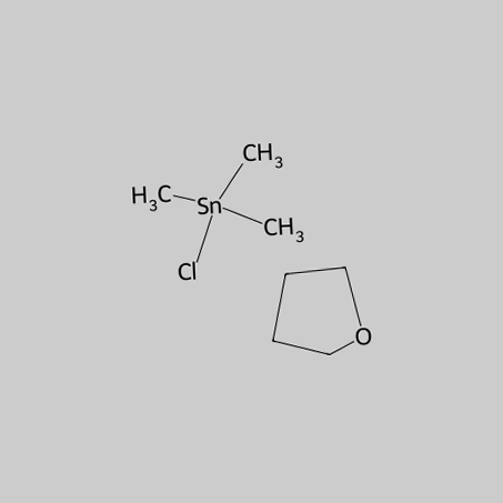 C1CCOC1.[CH3][Sn]([CH3])([CH3])[Cl]